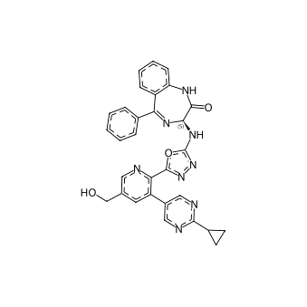 O=C1Nc2ccccc2C(c2ccccc2)=N[C@@H]1Nc1nnc(-c2ncc(CO)cc2-c2cnc(C3CC3)nc2)o1